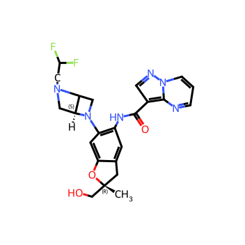 C[C@]1(CO)Cc2cc(NC(=O)c3cnn4cccnc34)c(N3CC4[C@@H]3CN4CC(F)F)cc2O1